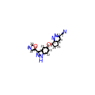 N#Cc1cc2c(nn1)[C@@H](Oc1ccc3[nH]nc(-c4cnco4)c3c1)CC2